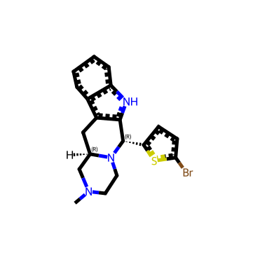 CN1CCN2[C@H](Cc3c([nH]c4ccccc34)[C@@H]2c2ccc(Br)s2)C1